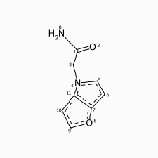 NC(=O)Cn1ccc2occc21